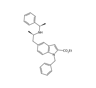 CCOC(=O)c1cc2cc(C[C@@H](C)N[C@H](C)c3ccccc3)ccc2n1Cc1ccccc1